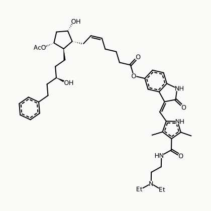 CCN(CC)CCNC(=O)c1c(C)[nH]c(/C=C2\C(=O)Nc3ccc(OC(=O)CCC/C=C\C[C@@H]4[C@@H](CC[C@@H](O)CCc5ccccc5)[C@H](OC(C)=O)C[C@@H]4O)cc32)c1C